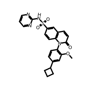 COc1cc(C2CCC2)ccc1-n1c(=O)ccc2cc(S(=O)(=O)Nc3ncccn3)ccc21